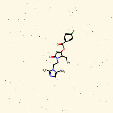 Cc1ncc([N+](=O)[O-])n1CCN1C(=O)C=C(OC(=O)c2ccc(F)cc2)C1CC(C)C